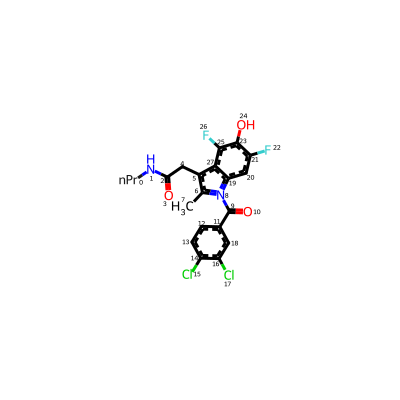 CCCNC(=O)Cc1c(C)n(C(=O)c2ccc(Cl)c(Cl)c2)c2cc(F)c(O)c(F)c12